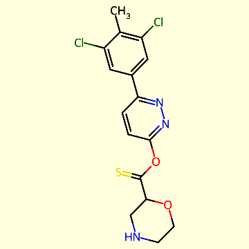 Cc1c(Cl)cc(-c2ccc(OC(=S)C3CNCCO3)nn2)cc1Cl